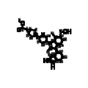 COC(=O)C1C2CN(c3ccc(N4c5c(ccc(CO)c5C)C(=c5cccc6c5=CNN6)N4C)cn3)CC21